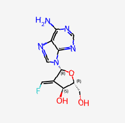 Nc1ncnc2c1ncn2[C@@H]1O[C@H](CO)[C@@H](O)C1=CF